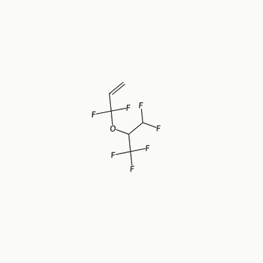 C=CC(F)(F)OC(C(F)F)C(F)(F)F